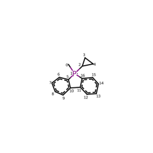 C[P]1(C2CC2)c2ccccc2-c2ccccc21